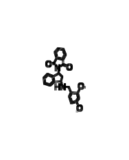 COc1ccc(CNC2CC(N3C(=O)c4ccccc4C3=O)c3ccccc32)c(OC)c1